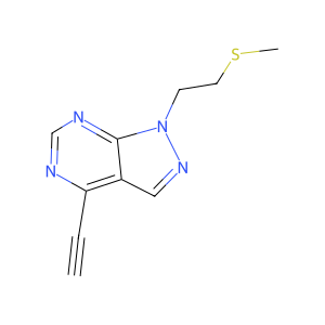 C#Cc1ncnc2c1cnn2CCSC